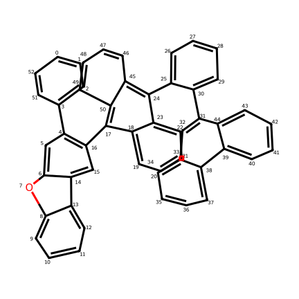 c1ccc(-c2cc3oc4ccccc4c3cc2-c2c3ccccc3c(-c3ccccc3-c3cc4ccccc4c4ccccc34)c3ccccc23)cc1